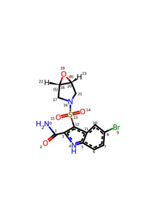 NC(=O)c1[nH]c2ccc(Br)cc2c1S(=O)(=O)N1C[C@@H]2O[C@@H]2C1